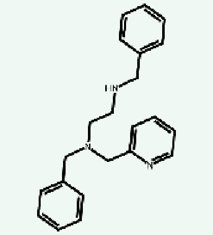 c1ccc(CNCCN(Cc2ccccc2)Cc2ccccn2)cc1